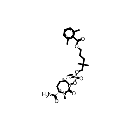 CC[C@H]1CC[C@@H](C(N)=O)N(C)C(=O)N1OS(=O)(=O)OCC(C)(C)CCCOC(=O)c1c(C)cccc1C